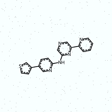 c1ccc(-c2cncc(Nc3ccc(-c4ccsc4)cn3)n2)nc1